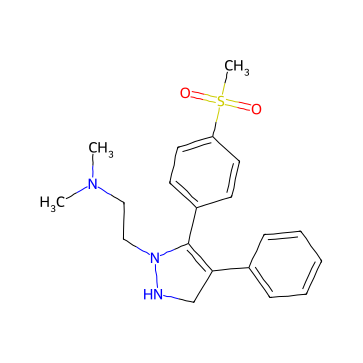 CN(C)CCN1NCC(c2ccccc2)=C1c1ccc(S(C)(=O)=O)cc1